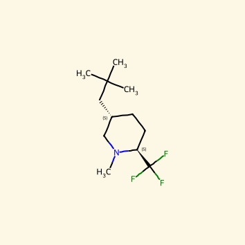 CN1C[C@H](CC(C)(C)C)CC[C@H]1C(F)(F)F